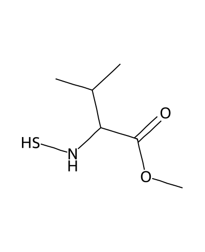 COC(=O)C(NS)C(C)C